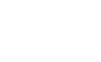 C=C/C=C\C=C(/C)n1c(/C=C\C=C)c(C=C)c(C=C)c1/C=C\C=C